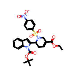 CCOC(=O)C1=CCC(c2cc3ccccc3n2C(=O)OC(C)(C)C)N(S(=O)(=O)c2ccc([N+](=O)[O-])cc2)C1